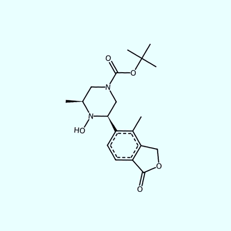 Cc1c([C@@H]2CN(C(=O)OC(C)(C)C)C[C@H](C)N2O)ccc2c1COC2=O